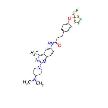 Cc1nc(N2CCC(N(C)C)CC2)nc2ccc(NC(=O)CCc3ccc(OC(SF)(SF)SF)cc3)cc12